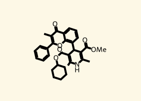 COC(=O)C1=C(C)NC(C)=C(C(=O)OC2CCCCC2)C1c1cccc2c(=O)c(C)c(-c3ccccc3)oc12